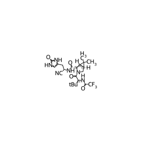 CC(C)(C)[C@H](NC(=O)C(F)(F)F)C(=O)N1C[C@H]2[C@H]([C@H]1C(=O)NC(C#N)Cc1c[nH]c(=O)[nH]1)C2(C)C